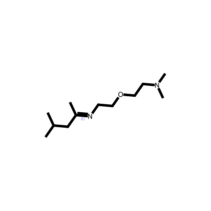 C/C(CC(C)C)=N\CCOCCN(C)C